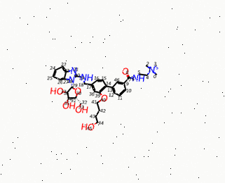 C[N+](C)(C)CCNC(=O)c1cccc(-c2ccc(CNc3nc4ccccc4n3[C@@H]3O[C@H](CO)[C@@H](O)[C@H]3O)cc2OCCCCO)c1